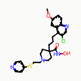 COc1ccc2ncc(Cl)c(CCCC3(C(=O)NO)CCN(CCSc4ccncc4)CC3)c2c1